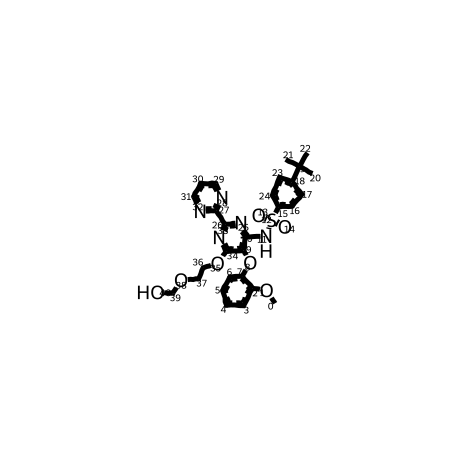 COc1ccccc1Oc1c(NS(=O)(=O)c2ccc(C(C)(C)C)cc2)nc(-c2ncccn2)nc1OCCOCO